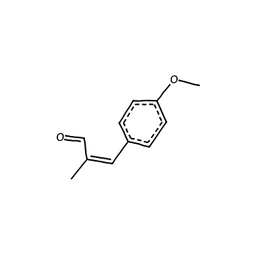 COc1ccc(/C=C(/C)C=O)cc1